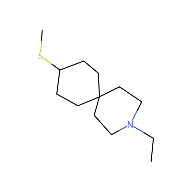 CCN1CCC2(CCC(SC)CC2)CC1